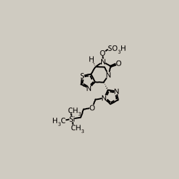 C[Si](C)(C)CCOCn1ccnc1[C@@H]1c2ncsc2[C@@H]2CN1C(=O)N2OS(=O)(=O)O